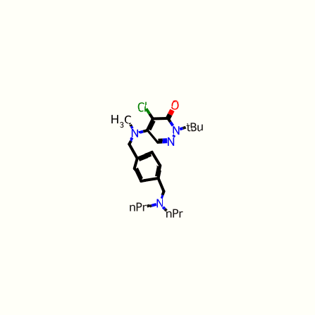 CCCN(CCC)Cc1ccc(CN(C)c2cnn(C(C)(C)C)c(=O)c2Cl)cc1